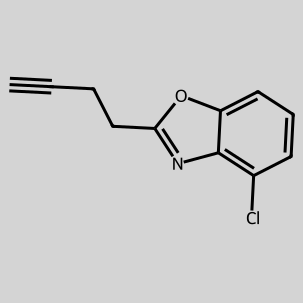 C#CCCc1nc2c(Cl)cccc2o1